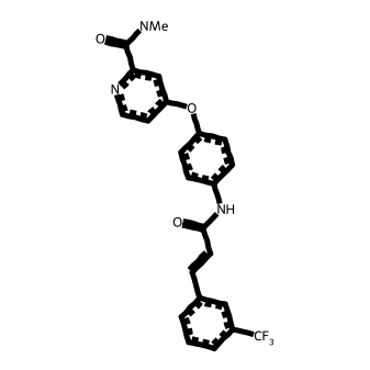 CNC(=O)c1cc(Oc2ccc(NC(=O)/C=C/c3cccc(C(F)(F)F)c3)cc2)ccn1